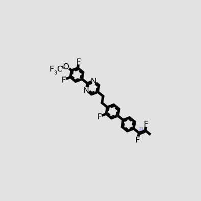 C/C(F)=C(\F)c1ccc(-c2ccc(CCc3cnc(-c4cc(F)c(OC(F)(F)F)c(F)c4)nc3)c(F)c2)cc1